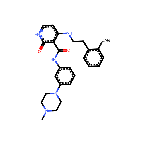 COc1ccccc1CCNc1cc[nH]c(=O)c1C(=O)Nc1cccc(N2CCN(C)CC2)c1